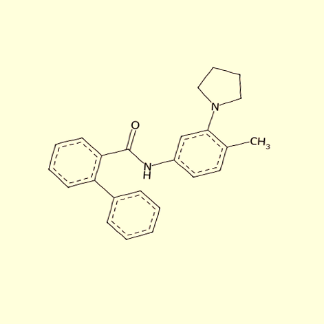 Cc1ccc(NC(=O)c2ccccc2-c2ccccc2)cc1N1CCCC1